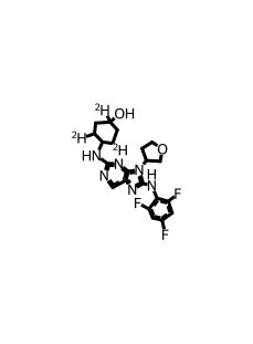 [2H]C1CC([2H])(O)CC([2H])C1Nc1ncc2nc(Nc3c(F)cc(F)cc3F)n(C3CCOC3)c2n1